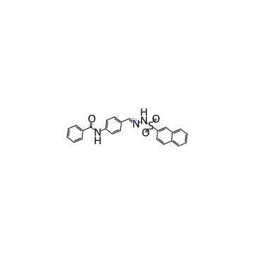 O=C(Nc1ccc(/C=N/NS(=O)(=O)c2ccc3ccccc3c2)cc1)c1ccccc1